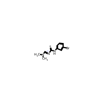 CN(C)/C=N/C(=S)Nc1cccc(Br)c1